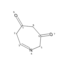 O=C1CC=NCC(=O)C1